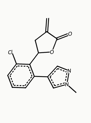 C=C1CC(c2c(Cl)cccc2-c2cnn(C)c2)OC1=O